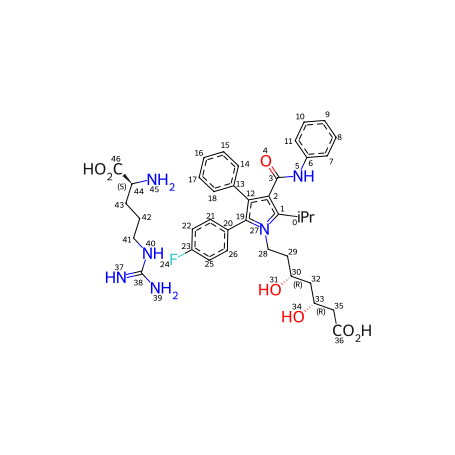 CC(C)c1c(C(=O)Nc2ccccc2)c(-c2ccccc2)c(-c2ccc(F)cc2)n1CC[C@@H](O)C[C@@H](O)CC(=O)O.N=C(N)NCCC[C@H](N)C(=O)O